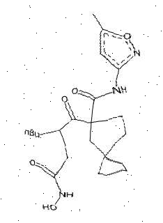 CCCCC(CC(=O)NO)C(=O)C1(C(=O)Nc2cc(C)on2)CCC2(CC2)C1